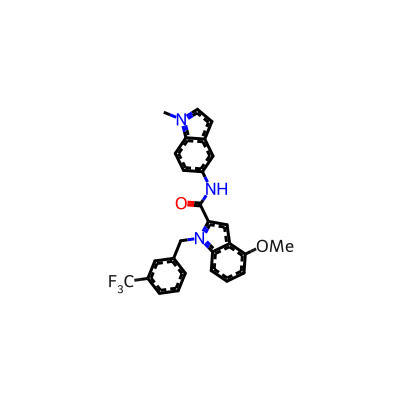 COc1cccc2c1cc(C(=O)Nc1ccc3c(ccn3C)c1)n2Cc1cccc(C(F)(F)F)c1